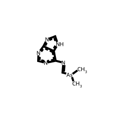 C[As](C)C=Nc1ncnc2nc[nH]c12